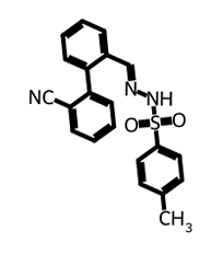 Cc1ccc(S(=O)(=O)NN=Cc2ccccc2-c2ccccc2C#N)cc1